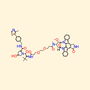 COC1C(N(C)C(=O)CCOCCOCCC(=O)N[C@H](C(=O)N2C[C@H](O)C[C@H]2C(=O)NCc2ccc(-c3scnc3C)cc2)C(C)(C)C)C[C@H]2O[C@]1(C)n1c3ccccc3c3c4c(c5c6ccccc6n2c5c31)C(=O)NC4